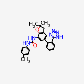 Cc1ccc(NC(=O)Nc2cc(-c3ccccc3-c3nnn[nH]3)cc3c2OC(C)(C)C3)cc1